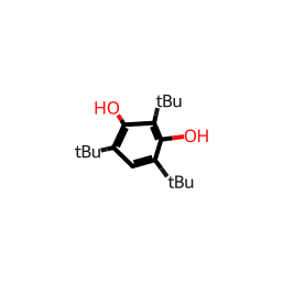 CC(C)(C)c1cc(C(C)(C)C)c(O)c(C(C)(C)C)c1O